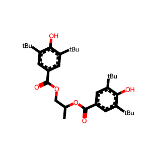 [CH2]C(COC(=O)c1cc(C(C)(C)C)c(O)c(C(C)(C)C)c1)OC(=O)c1cc(C(C)(C)C)c(O)c(C(C)(C)C)c1